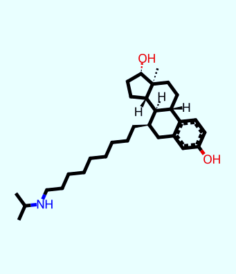 CC(C)NCCCCCCCCC[C@@H]1Cc2cc(O)ccc2[C@H]2CC[C@]3(C)[C@@H](O)CC[C@H]3[C@H]12